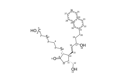 O=C(O)CSCCCS[C@H]1C(=O)C[C@@H](CO)[C@@H]1C=CC(O)CCc1ccc2ccccc2c1